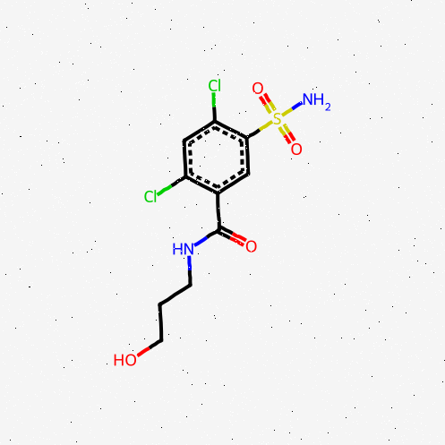 NS(=O)(=O)c1cc(C(=O)NCCCO)c(Cl)cc1Cl